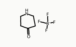 F[B-](F)(F)F.O=C1CCNCC1